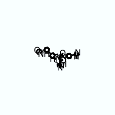 Cn1cncc1-c1ccc(NC(=O)[C@H](Cc2cc(-c3cccc([C@@H]4COCCN4)c3)ccc2Cl)NC(=O)c2ccnn2C)cc1